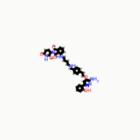 Nc1nnc(-c2ccccc2O)cc1OCCc1ccc(CNCCCCNc2cccc3c2C(=O)N(C2CCC(=O)NC2=O)C3=O)cc1